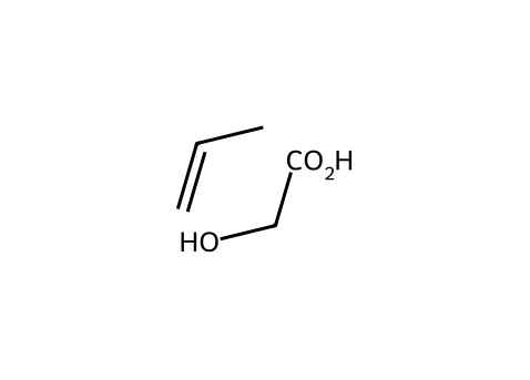 C=CC.O=C(O)CO